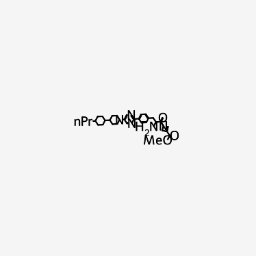 CCCC1CCC(C2CCN(c3cnc(-c4ccc(CC(N)C(=O)N5CC(C(=O)OC)C5)cc4)nc3)CC2)CC1